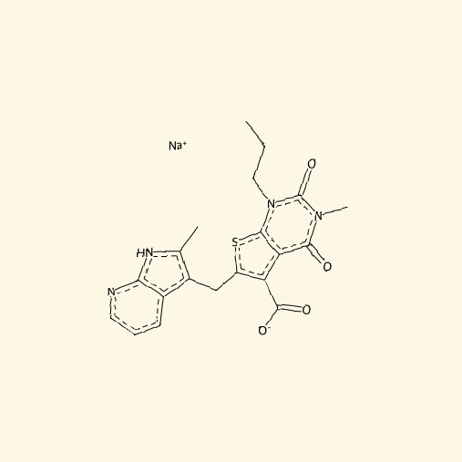 CCCn1c(=O)n(C)c(=O)c2c(C(=O)[O-])c(Cc3c(C)[nH]c4ncccc34)sc21.[Na+]